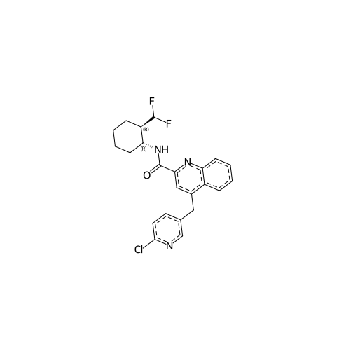 O=C(N[C@@H]1CCCC[C@H]1C(F)F)c1cc(Cc2ccc(Cl)nc2)c2ccccc2n1